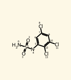 NS(=O)(=O)[N]c1cc(Cl)cc(Cl)c1Cl